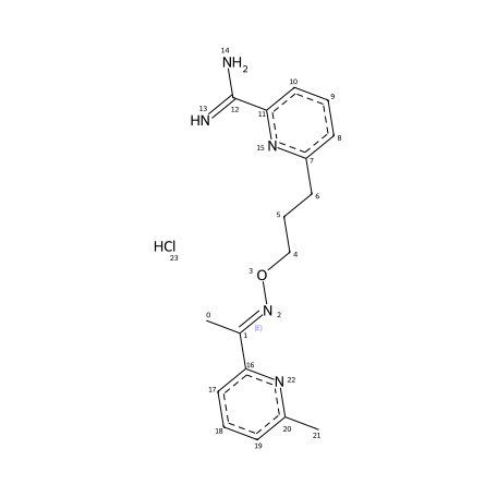 C/C(=N\OCCCc1cccc(C(=N)N)n1)c1cccc(C)n1.Cl